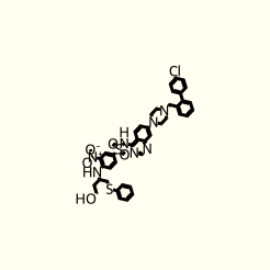 O=[N+]([O-])c1cc(S(=O)(=O)Nc2ncnc3cc(N4CCN(Cc5ccccc5-c5ccc(Cl)cc5)CC4)ccc23)ccc1NC(CCO)CSc1ccccc1